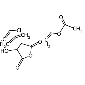 C=C=C.C=CCl.C=COC(C)=O.O=C1CC(O)C(=O)O1